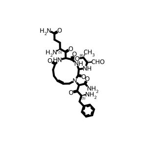 C[C@@H](O)[C@@H](C=O)NC1NC(=O)C(C(=O)[C@@H](N)CCC(N)=O)NC(=O)CCC=CCN(C(C(N)=O)C(=O)[C@@H](N)Cc2ccccc2)C1=O